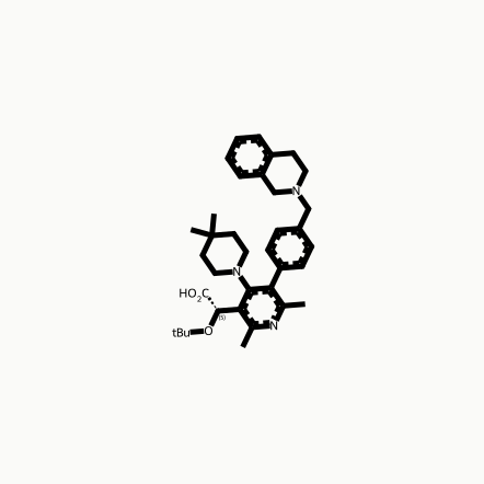 Cc1nc(C)c([C@H](OC(C)(C)C)C(=O)O)c(N2CCC(C)(C)CC2)c1-c1ccc(CN2CCc3ccccc3C2)cc1